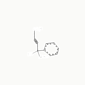 CCCCCC(O)(C#CC(=O)O)c1ccccc1